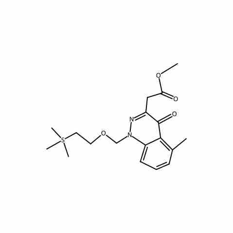 COC(=O)Cc1nn(COCCS(C)(C)C)c2cccc(C)c2c1=O